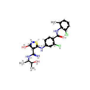 Cc1cccc(Cl)c1NC(=O)c1ccc(Nc2snc(O)c2C(=N)NC(C)C(C)O)cc1Cl